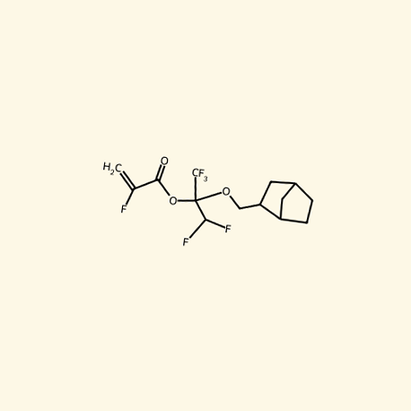 C=C(F)C(=O)OC(OCC1CC2CCC1C2)(C(F)F)C(F)(F)F